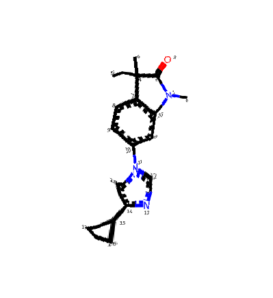 CN1C(=O)C(C)(C)c2ccc(-n3cnc(C4CC4)c3)cc21